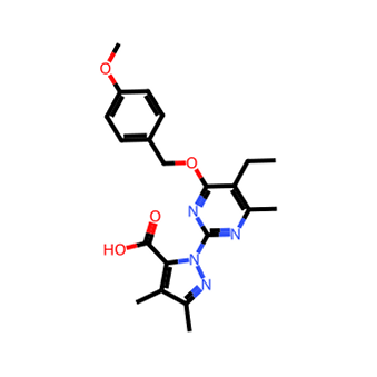 CCc1c(C)nc(-n2nc(C)c(C)c2C(=O)O)nc1OCc1ccc(OC)cc1